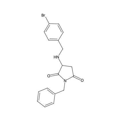 O=C1CC(NCc2ccc(Br)cc2)C(=O)N1Cc1ccccc1